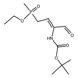 CCOP(C)(=O)C/C=C(/C=O)NC(=O)OC(C)(C)C